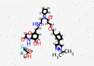 CC(C)n1cc(-c2cccc(CCOCCC(=O)N(CCNCCc3ccc(O)c4c3OCC(=O)N4)C3CCCC3)c2)cn1.O=C(O)C(F)(F)F